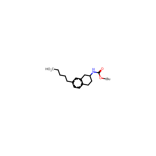 CC(C)(C)OC(=O)NC1CCc2ccc(CCCCC(=O)O)cc2C1